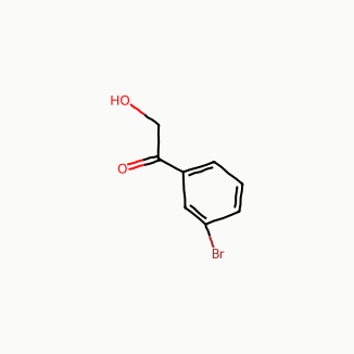 O=C(CO)c1cccc(Br)c1